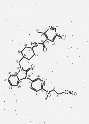 COCCN(C)c1ccc(-n2c(=O)n(CC3CCC(NC(=O)c4cc(Cl)cnc4C)CC3)c3ccccc32)cn1